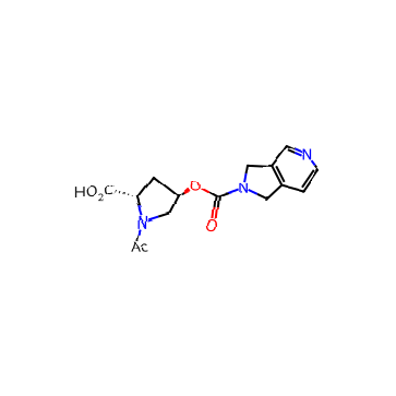 CC(=O)N1C[C@H](OC(=O)N2Cc3ccncc3C2)C[C@H]1C(=O)O